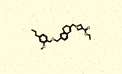 CCCc1ccc(COCc2ccc3c(c2)CCC(CN2CC(C(=O)OCC)C2)=C3)c(OC)c1